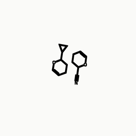 C1=COC(C2CC2)CC1.N#CC1CCC=CO1